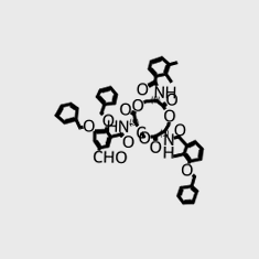 Cc1cccc(C(=O)N[C@H]2COC(=O)[C@@H](NC(=O)c3cc(C=O)cc(OCc4ccccc4)c3OCc3ccccc3)COC(=O)[C@@H](NC(=O)c3cccc(OCc4ccccc4)c3C)COC2=O)c1C